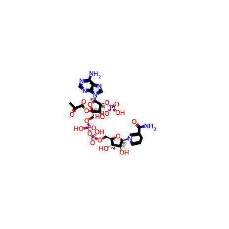 CC(=O)C(=O)O[C@@]1(COP(=O)(O)OP(=O)(O)OC[C@H]2O[C@@H](N3C=CCC(C(N)=O)=C3)[C@H](O)[C@@H]2O)O[C@@H](n2cnc3c(N)ncnc32)[C@H](OP(=O)(O)O)[C@H]1O